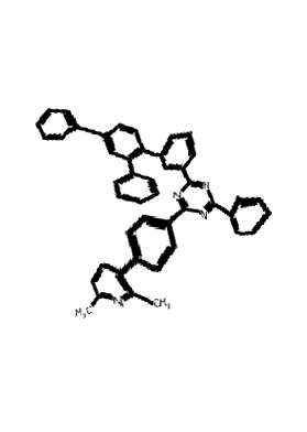 Cc1ccc(-c2ccc(-c3nc(-c4ccccc4)nc(-c4cccc(-c5ccc(-c6ccccc6)cc5-c5ccccc5)c4)n3)cc2)c(C)n1